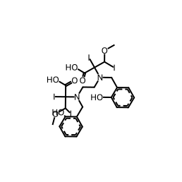 COC(I)C(I)(C(=O)O)N(CCN(Cc1ccccc1O)C(I)(C(=O)O)C(I)OC)Cc1ccccc1O